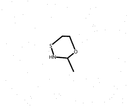 CC1NSCCO1